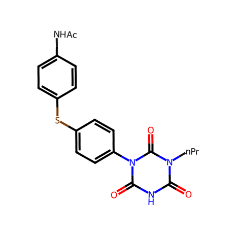 CCCn1c(=O)[nH]c(=O)n(-c2ccc(Sc3ccc(NC(C)=O)cc3)cc2)c1=O